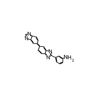 Nc1cccc(C2=Nc3cc(=c4ccc5c(c4)N=CN=5)ccc3=N2)c1